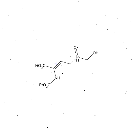 CCOC(=O)N/C(=C\C[PH](=O)CO)C(=O)O